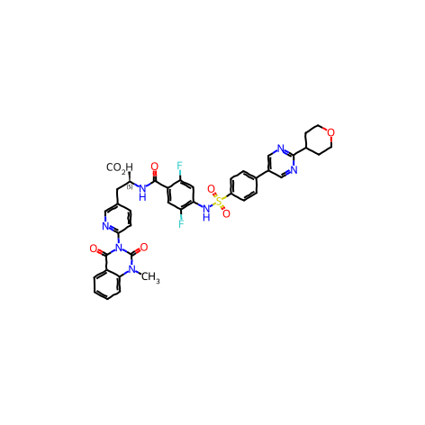 Cn1c(=O)n(-c2ccc(C[C@H](NC(=O)c3cc(F)c(NS(=O)(=O)c4ccc(-c5cnc(C6CCOCC6)nc5)cc4)cc3F)C(=O)O)cn2)c(=O)c2ccccc21